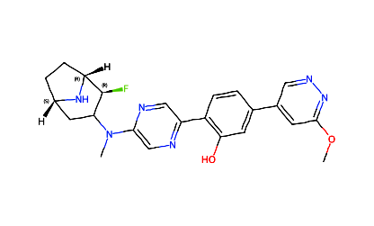 COc1cc(-c2ccc(-c3cnc(N(C)C4C[C@@H]5CC[C@@H](N5)[C@H]4F)cn3)c(O)c2)cnn1